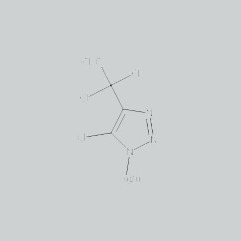 CCCCn1nnc(C(Cl)(Cl)C(Cl)(Cl)Cl)c1Cl